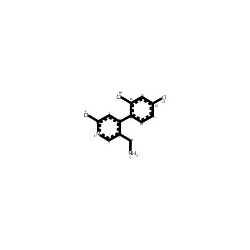 NCc1cnc(Cl)cc1-c1ccc(Cl)cc1Cl